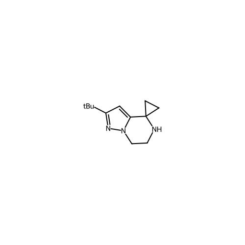 CC(C)(C)c1cc2n(n1)CCNC21CC1